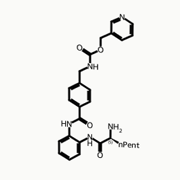 CCCCC[C@H](N)C(=O)Nc1ccccc1NC(=O)c1ccc(CNC(=O)OCc2cccnc2)cc1